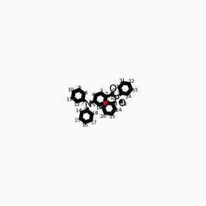 O=C(c1ccc(N(c2ccccc2)c2ccccc2)cc1)P(=O)(c1ccccc1)c1ccccc1